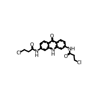 O=C(CCCl)Nc1ccc2c(=O)c3ccc(NC(=O)CCCl)cc3[nH]c2c1